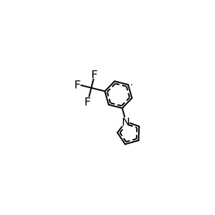 FC(F)(F)c1c[c]cc(-n2cccc2)c1